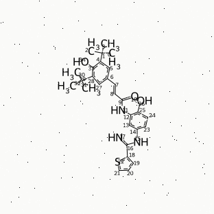 CC(C)(C)c1cc(C=CC(=O)Nc2cc(NC(=N)c3cccs3)ccc2O)cc(C(C)(C)C)c1O